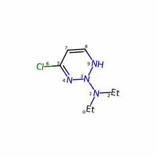 CCN(CC)N1N=C(Cl)C=[C]N1